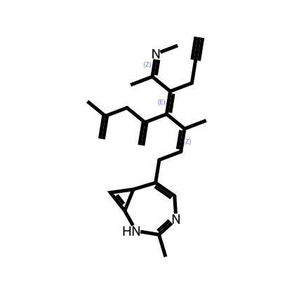 C#CCC(/C(C)=N\C)=C(C(=C)CC(=C)C)\C(C)=C/CC1=CN=C(C)NC2=CC12